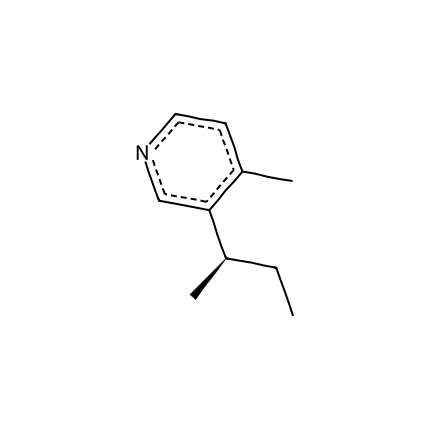 CC[C@@H](C)c1cnccc1C